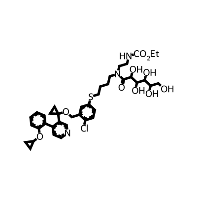 CCOC(=O)NCCN(CCCCSc1ccc(Cl)c(COC2(c3cnccc3-c3ccccc3OC3CC3)CC2)c1)C(=O)C(O)C(O)C(O)C(O)CO